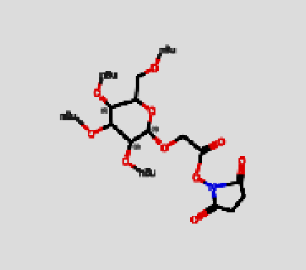 CCCCOCC1O[C@@H](OCC(=O)ON2C(=O)CCC2=O)[C@@H](OCCCC)C(OCCCC)[C@H]1OCCCC